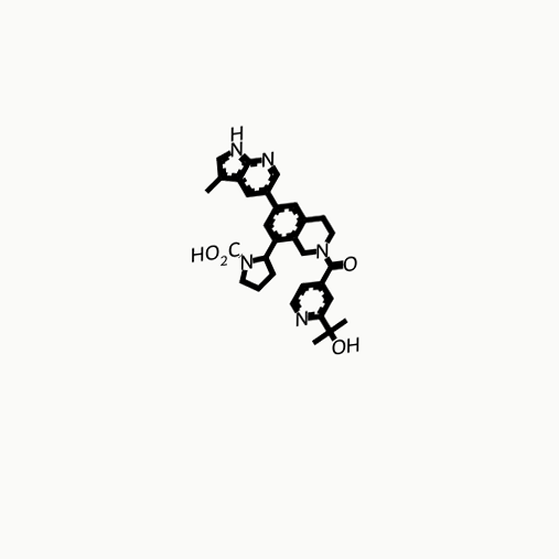 Cc1c[nH]c2ncc(-c3cc4c(c(C5CCCN5C(=O)O)c3)CN(C(=O)c3ccnc(C(C)(C)O)c3)CC4)cc12